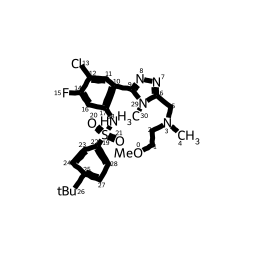 COCCN(C)Cc1nnc(-c2cc(Cl)c(F)cc2NS(=O)(=O)c2ccc(C(C)(C)C)cc2)n1C